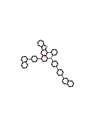 c1ccc(N(c2ccc(-c3ccc(-c4ccc5ccccc5c4)cc3)cc2)c2ccc(-c3ccc(-c4cccc5ccccc45)cc3)cc2)c(-c2cccc3c2oc2ccccc23)c1